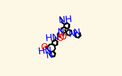 CNCc1ccccc1CN(CC(=O)Nc1ccc2c(c1)CC(=O)Nc1ncccc1C2)C(=O)C1(C)CCN(c2ccccn2)CC1